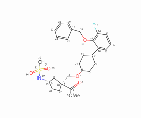 COC(=O)[C@@]1(COC2CCC(c3cccc(F)c3OCc3ccccc3)CC2)CC[C@H](NS(C)(=O)=O)C1